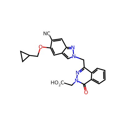 N#Cc1cc2nn(Cc3nn(CC(=O)O)c(=O)c4ccccc34)cc2cc1OCC1CC1